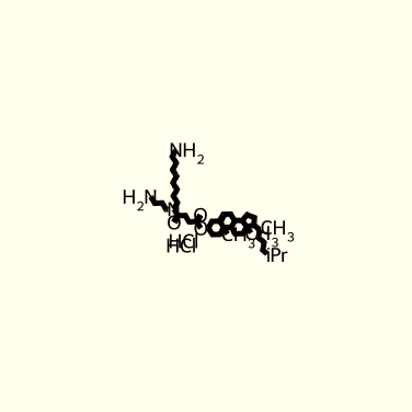 CC(C)CCCC(C)C1CCC2C3CC=C4CC(OC(=O)CCC(=O)N(CCCN)CCCCCCCCN)CCC4(C)C3CCC12C.Cl.Cl